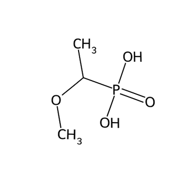 COC(C)P(=O)(O)O